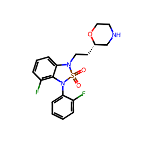 O=S1(=O)N(CC[C@H]2CNCCO2)c2cccc(F)c2N1c1ccccc1F